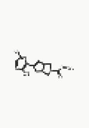 CC(C)(C)OC(=O)N1CC2C=C(c3nc(Cl)cnc3C#N)CC2C1